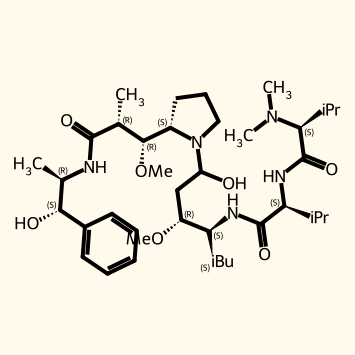 CC[C@H](C)[C@H](NC(=O)[C@@H](NC(=O)[C@H](C(C)C)N(C)C)C(C)C)[C@@H](CC(O)N1CCC[C@H]1[C@H](OC)[C@@H](C)C(=O)N[C@H](C)[C@@H](O)c1ccccc1)OC